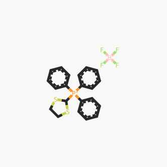 F[B-](F)(F)F.c1ccc([P+](c2ccccc2)(c2ccccc2)C2SCCS2)cc1